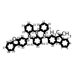 CC1(C)c2ccccc2-c2ccc(N3c4ccccc4B4c5ccccc5N(c5ccc6c(c5)oc5ccccc56)c5cccc3c54)cc21